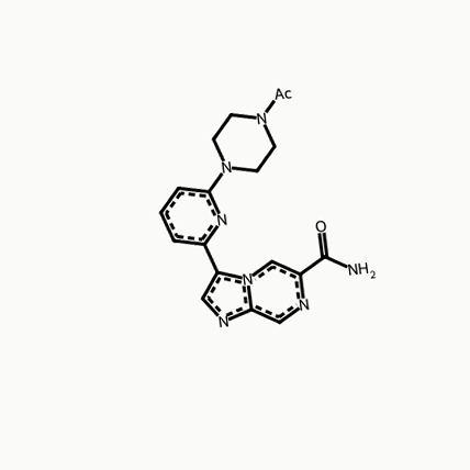 CC(=O)N1CCN(c2cccc(-c3cnc4cnc(C(N)=O)cn34)n2)CC1